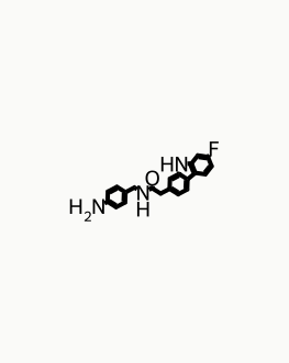 Nc1ccc(CNC(=O)Cc2ccc3c(c2)[nH]c2cc(F)ccc23)cc1